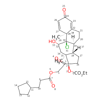 CCOC(=O)O[C@]1(C(=O)COC(=O)CCC2CCCC2)CC[C@H]2[C@@H]3CCC4=CC(=O)C=C[C@]4(C)[C@@]3(Cl)C(O)C[C@@]21C